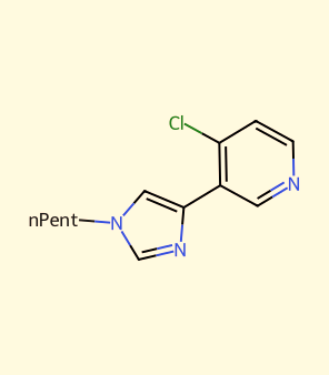 CCCCCn1cnc(-c2cnccc2Cl)c1